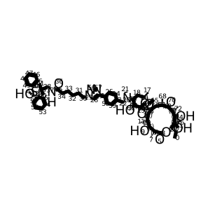 CC[C@H]1OC(=O)[C@H](C)[C@@H](O)[C@H](C)[C@@H](O[C@@H]2O[C@H](C)C[C@H](N(C)Cc3ccc(-c4cn(CCCCCC(=O)NCC(C)(C)[Si](O)(c5ccccc5)c5ccccc5)nn4)cc3)[C@H]2O)[C@](C)(OC)C[C@@H](C)C(=O)[C@H](C)[C@@H](O)[C@]1(C)O